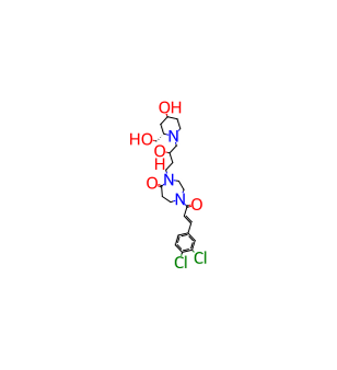 O=C(/C=C/c1ccc(Cl)c(Cl)c1)N1CCC(=O)N(CCC(O)CN2CC[C@H](O)C[C@H]2CO)CC1